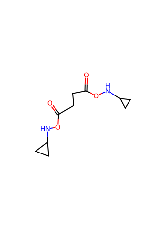 O=C(CCC(=O)ONC1CC1)ONC1CC1